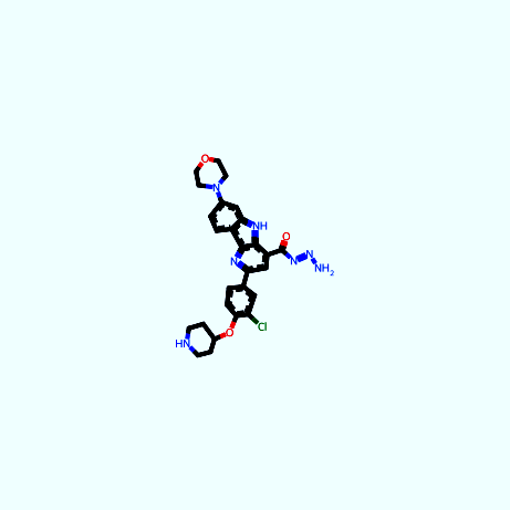 NN=NC(=O)c1cc(-c2ccc(OC3CCNCC3)c(Cl)c2)nc2c1[nH]c1cc(N3CCOCC3)ccc12